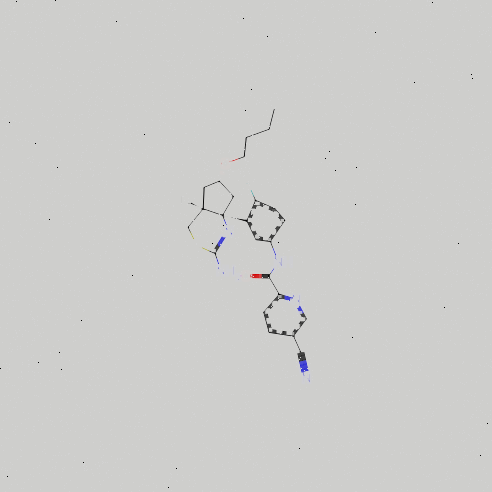 CCCCO[C@H]1C[C@H]2CSC(N)=N[C@@]2(c2cc(NC(=O)c3ccc(C#N)cn3)ccc2F)C1